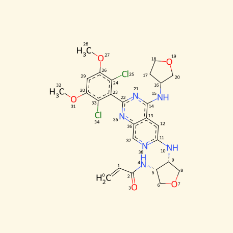 C=CC(=O)N[C@H]1COC[C@H]1Nc1cc2c(NC3CCOC3)nc(-c3c(Cl)c(OC)cc(OC)c3Cl)nc2cn1